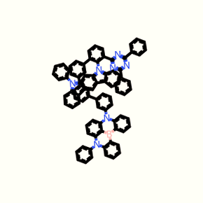 c1ccc(-c2nc(-c3ccccc3)nc(-c3cccc(-c4cccc(-c5cccc(-c6cccc(N7c8ccccc8B8c9ccccc9N(c9ccccc9)c9cccc7c98)c6)c5)c4)c3-n3c4ccccc4c4cc5c6ccccc6n(-c6ccccc6)c5cc43)n2)cc1